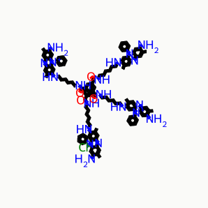 CC1=CC2=Nc3cc(C)c(NCCCCCCNC(=O)C45CC6(C(=O)NCCCCCCNc7cc8c(cc7C)N=C7C=C(C)C(N)=CC7[N+]8(Cl)c7ccccc7)CC(C(=O)NCCCCCCNc7cc8c(cc7C)nc7cc(C)c(N)cc7[n+]8-c7ccccc7)(C4)CC(C(=O)NCCCCCCNc4cc7c(cc4C)nc4cc(C)c(N)cc4[n+]7-c4ccccc4)(C5)C6)cc3N(c3ccccc3)C2C=C1N